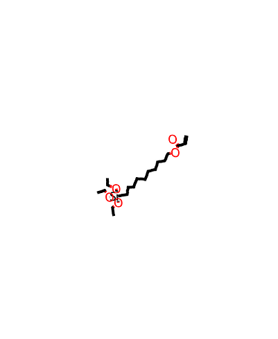 C=CC(=O)OCCCCCCCCCC[Si](OCC)(OCC)OCC